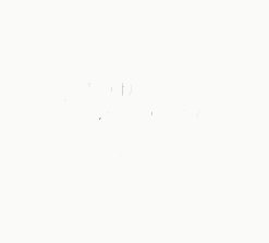 CC(I)OC(=O)C1(C)CCCC1